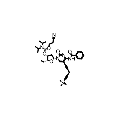 CC[C@H]1O[C@@H](n2cc(C#CCC#C[Si](C)(C)C)c(NC(=O)c3ccccc3)nc2=O)C[C@H]1OP(OCCC#N)N(C(C)C)C(C)C